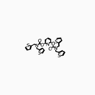 O=C(Oc1cccc(OC(=O)N(Cc2cccs2)Cc2cccs2)n1)N(Cc1cccs1)Cc1cccs1